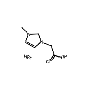 Br.CN1C=CN(CC(=O)O)C1